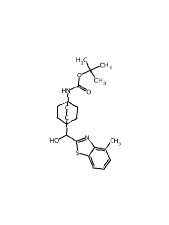 Cc1cccc2sc(C(O)C34CCC(NC(=O)OC(C)(C)C)(CC3)CC4)nc12